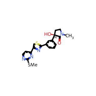 CSc1nccc(-c2csc(-c3cccc([C@]4(O)CCN(C)C4=O)c3)n2)n1